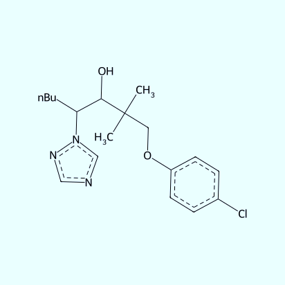 CCCCC(C(O)C(C)(C)COc1ccc(Cl)cc1)n1cncn1